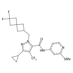 CSc1cc(NC(=O)c2c(C(F)(F)F)c(C3CC3)nn2CC2CC3(C2)CC(F)(F)C3)ccn1